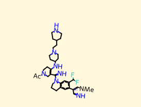 CN/C=C(\C=N)c1cc2c(cc1C(F)F)N(C(=N)C1=C(NC3CCN(CCC4CCNCC4)CC3)CCN(C(C)=O)C1)CCC2